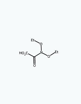 CCON(OCC)C(=O)C(=O)O